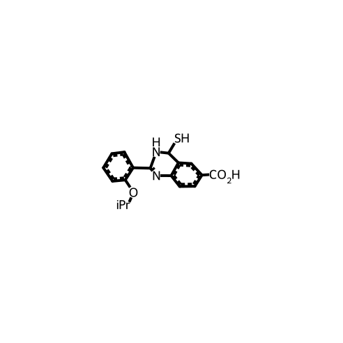 CC(C)Oc1ccccc1C1=Nc2ccc(C(=O)O)cc2C(S)N1